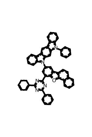 C1=CCCC(c2nc(-c3ccccc3)nc(-c3cc(-n4c5ccccc5c5cc6c7ccccc7n(-c7ccccc7)c6cc54)cc4c3oc3c5ccccc5ccc43)n2)=C1